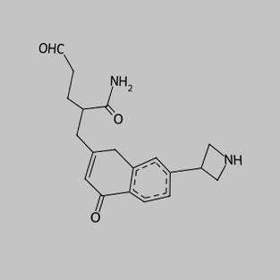 NC(=O)C(CCC=O)CC1=CC(=O)c2ccc(C3CNC3)cc2C1